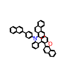 c1ccc(N(c2ccc(-c3ccc4ccccc4c3)cc2)c2cccc3c2ccc2ccccc23)c(-c2cccc3oc4c5ccccc5ccc4c23)c1